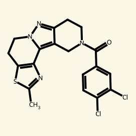 Cc1nc2c(s1)CCn1nc3c(c1-2)CN(C(=O)c1ccc(Cl)c(Cl)c1)CC3